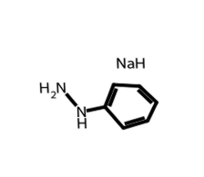 NNc1ccccc1.[NaH]